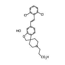 Cl.O=C(O)CCN1CCC2(CC1)COc1cc(C=Cc3c(Cl)cccc3Cl)ccc12